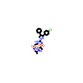 CC(C)n1ncc(S(=O)(=O)/N=C(\NCCS(N)(=O)=O)N2CC(c3ccccc3)C(c3ccc(Cl)cc3)=N2)n1